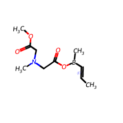 C/C=C/B(C)OC(=O)CN(C)CC(=O)OC